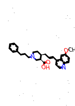 COc1ccc2nccc(/C=C/C[C@@H]3CCN(CCCc4ccccc4)C[C@@H]3C(=O)O)c2c1